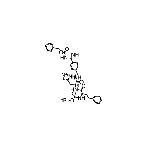 CC(C)(C)OC(=O)N[C@H](CCc1ccccc1)C(=O)N[C@@H](Cc1cnc[nH]1)C(=O)NCc1ccc(C(=N)NC(=O)OCc2ccccc2)cc1